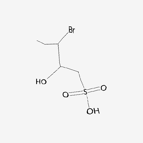 CC(Br)C(O)CS(=O)(=O)O